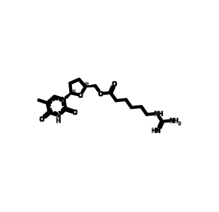 Cc1cn([C@H]2CC[C@@H](COC(=O)CCCCCNC(=N)N)O2)c(=O)[nH]c1=O